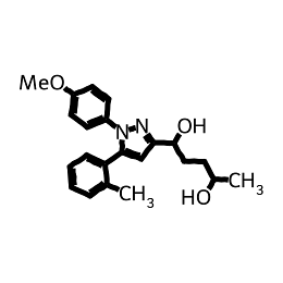 COc1ccc(-n2nc(C(O)CCC(C)O)cc2-c2ccccc2C)cc1